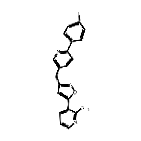 Nc1ncccc1-c1cc(Cc2ccc(-c3ccc(F)cc3)nc2)no1